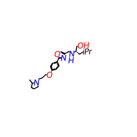 CC(C)C[C@H](CO)NCc1coc(-c2ccc(OCCCN3CCCC3C)cc2)n1